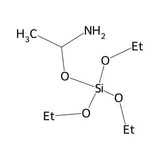 CCO[Si](OCC)(OCC)OC(C)N